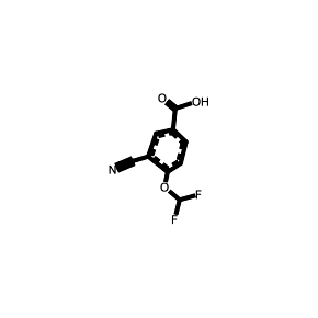 N#Cc1cc(C(=O)O)ccc1OC(F)F